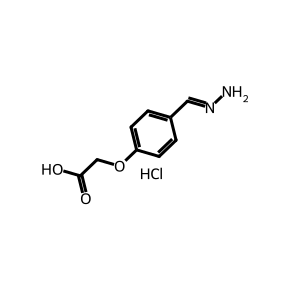 Cl.NN=Cc1ccc(OCC(=O)O)cc1